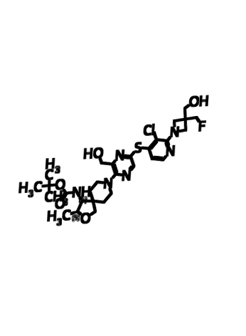 C[C@@H]1OCC2(CCN(c3ncc(Sc4ccnc(N5CC(CO)(CF)C5)c4Cl)nc3CO)CC2)[C@@H]1NC(=O)OC(C)(C)C